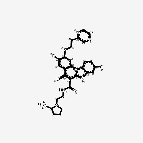 CC1CCCN1CCNC(=O)c1c(=O)c2cc(F)c(SCCc3cnccn3)cc2n2c1sc1cc(Cl)ccc12